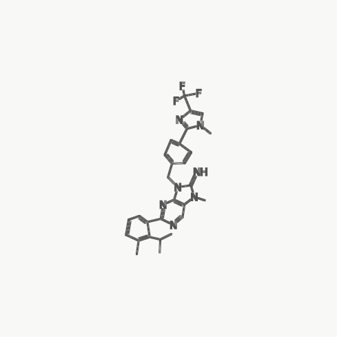 Cc1cccc(-c2ncc3c(n2)n(Cc2ccc(-c4nc(C(F)(F)F)cn4C)cc2)c(=N)n3C)c1C(C)C